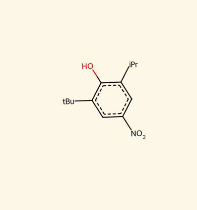 CC(C)c1cc([N+](=O)[O-])cc(C(C)(C)C)c1O